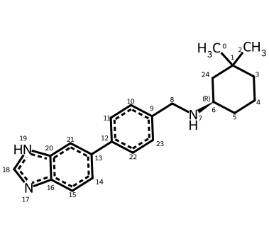 CC1(C)CCC[C@@H](NCc2ccc(-c3ccc4nc[nH]c4c3)cc2)C1